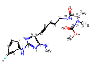 CCCNc1nc(Nc2cccc(F)c2)ncc1C#CCCCNC(=O)[C@H](CCC)N(C)C(=O)OC(C)(C)C